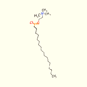 CCCCCCCCCCCCCCCCCC[PH](=O)OCC[N+](C)(C)C